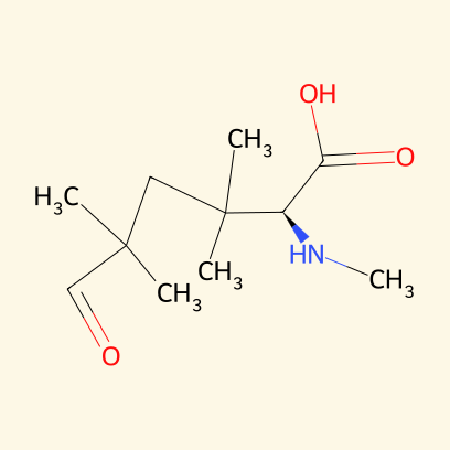 CN[C@H](C(=O)O)C(C)(C)CC(C)(C)C=O